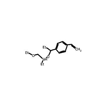 C=Cc1ccc(C(CC)O[SiH](CC)COCC)cc1